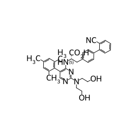 Cc1cc(C)c(-c2cnc(N(CCO)CCO)nc2N[C@@H](Cc2ccc(-c3ccccc3C#N)cc2)C(=O)O)c(C)c1